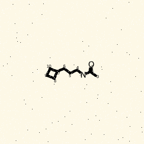 CC(=O)[N]CCCC1CCC1